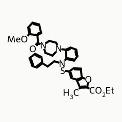 CCOC(=O)c1oc2ccc(SN(CCc3ccccc3)c3ccccc3N3CCN(C(=O)c4ccccc4OC)CC3)cc2c1C